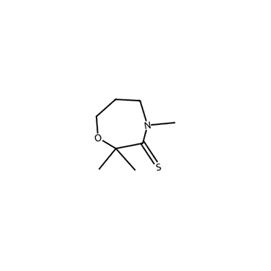 CN1CCCOC(C)(C)C1=S